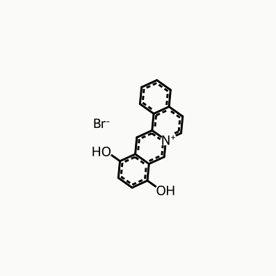 Oc1ccc(O)c2c[n+]3ccc4ccccc4c3cc12.[Br-]